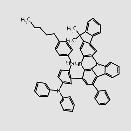 CCCCCc1ccc(Nc2ccc(N(c3ccccc3)c3ccccc3)cc2-c2cc(-c3ccccc3)c3c4ccccc4n4c3c2Bc2cc3c(cc2-4)-c2ccccc2C3(C)C)cc1